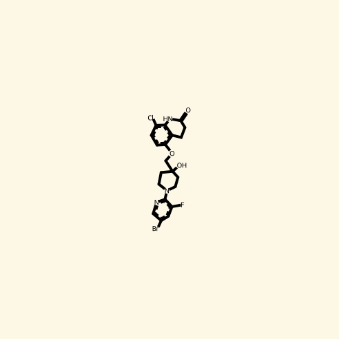 O=C1CCc2c(OCC3(O)CCN(c4ncc(Br)cc4F)CC3)ccc(Cl)c2N1